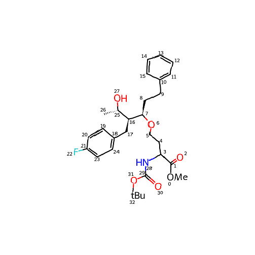 COC(=O)C(CCO[C@H](CCc1ccccc1)[C@@H](Cc1ccc(F)cc1)[C@H](C)O)NC(=O)OC(C)(C)C